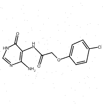 Nc1nc[nH]c(=O)c1NC(=O)COc1ccc(Cl)cc1